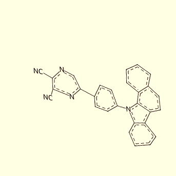 N#Cc1ncc(-c2ccc(-n3c4ccccc4c4ccc5ccccc5c43)cc2)nc1C#N